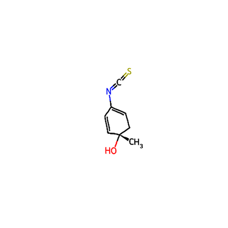 C[C@@]1(O)C=CC(N=C=S)=CC1